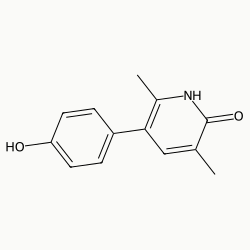 Cc1[nH]c(=O)c(C)cc1-c1ccc(O)cc1